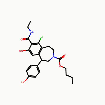 CCCCOC(=O)N1CCc2c(cc(O)c(C(=O)NCC)c2Cl)C(c2ccc(O)cc2)C1